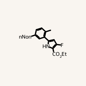 CCCCCCCCCc1ccc(C)c(-c2cc(F)c(C(=O)OCC)[nH]2)c1